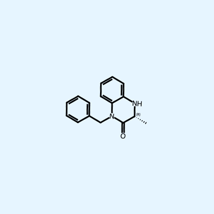 C[C@H]1Nc2ccccc2N(Cc2ccccc2)C1=O